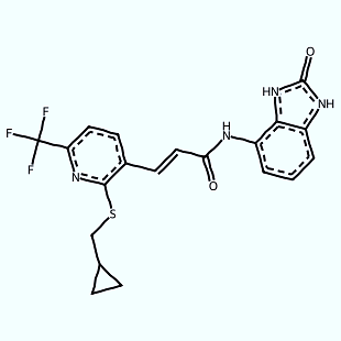 O=C(/C=C/c1ccc(C(F)(F)F)nc1SCC1CC1)Nc1cccc2[nH]c(=O)[nH]c12